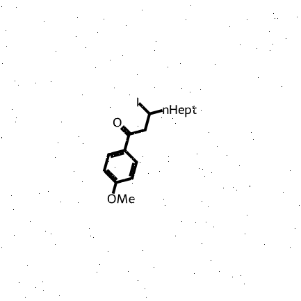 CCCCCCCC(I)CC(=O)c1ccc(OC)cc1